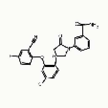 N#Cc1cc(F)ccc1Oc1cc(Cl)ccc1[C@H]1CC(=O)N(c2cccc(C(N)=O)c2)C1